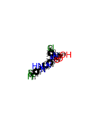 Cc1[nH]c(-c2ccc(C(F)(F)F)cc2)nc1CN1CCC(n2c(=O)n(CC(=O)O)c3cc(Cl)ccc32)CC1